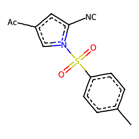 [C-]#[N+]c1cc(C(C)=O)cn1S(=O)(=O)c1ccc(C)cc1